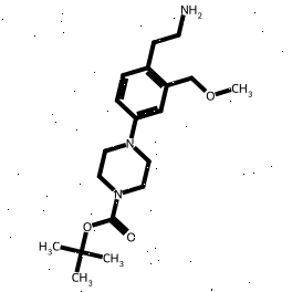 COCc1cc(N2CCN(C(=O)OC(C)(C)C)CC2)ccc1CCN